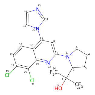 OC(C1CCCN1c1cc(-n2ccnc2)c2ccc(Cl)c(Cl)c2n1)(C(F)(F)F)C(F)(F)F